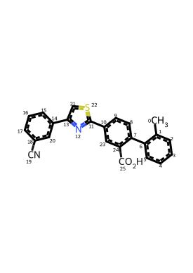 Cc1ccccc1-c1ccc(-c2nc(-c3cccc(C#N)c3)cs2)cc1C(=O)O